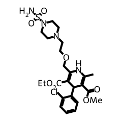 CCOC(=O)C1=C(COCCN2CCN(S(N)(=O)=O)CC2)NC(C)=C(C(=O)OC)C1c1ccccc1Cl